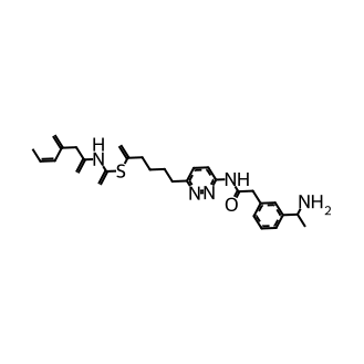 C=C(/C=C\C)CC(=C)NC(=C)SC(=C)CCCCc1ccc(NC(=O)Cc2cccc(C(C)N)c2)nn1